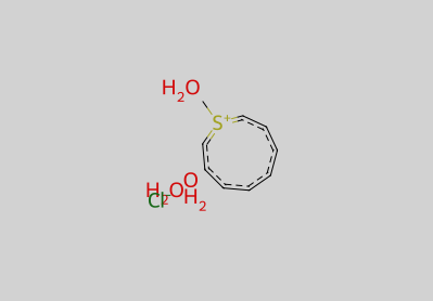 C[s+]1cccccccc1.O.O.O.[Cl-]